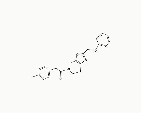 Cc1ccc(CC(=O)N2CCc3nc(COc4ccccc4)oc3C2)cc1